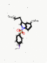 COc1ccc2c(c1)C(CCC=O)CN2S(=O)(=O)c1ccc(I)cc1